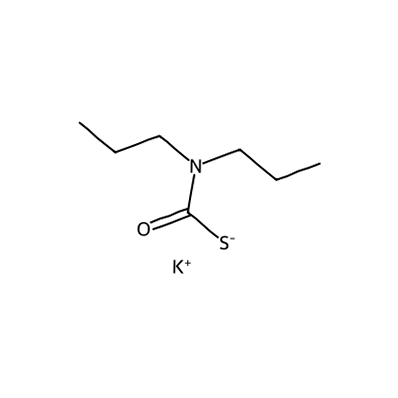 CCCN(CCC)C(=O)[S-].[K+]